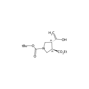 C=C(O)[C@H]1CN(C(=O)OC(C)(C)C)C[C@@H]1C(=O)OCC